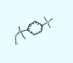 CCO[Si](C)(C)c1ccc([Si](C)(C)C)cc1